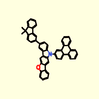 CC1(C)c2ccccc2-c2cc(-c3ccc4c(c3)c3cc5oc6ccccc6c5cc3n4-c3ccc4c5ccccc5c5ccccc5c4c3)ccc21